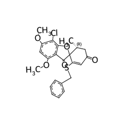 COc1cc(OC)c2c(c1Cl)OC1(C2=O)C(SCc2ccccc2)=CC(=O)C[C@H]1C